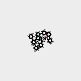 c1ccc(-c2ccccc2-c2nc(-c3ccccc3-n3c4ccccc4c4c(-c5ccccc5)ccc(-c5ccccc5)c43)nc(-n3c4ccccc4c4ccccc43)n2)cc1